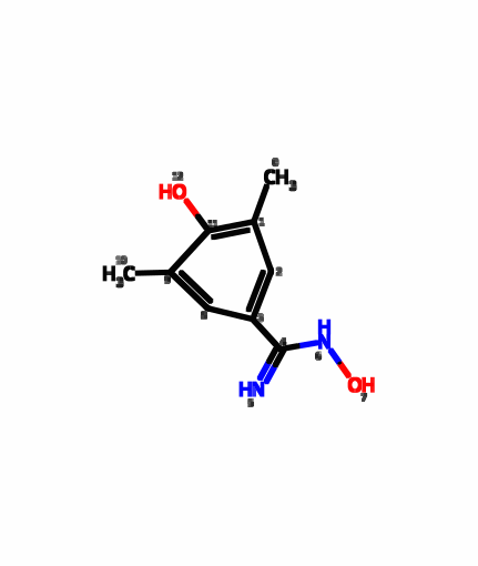 Cc1cc(C(=N)NO)cc(C)c1O